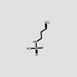 C=CCCNP(=O)(O)F